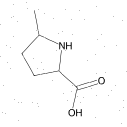 CC1CCC(C(=O)O)N1